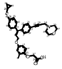 Cc1cc(OC/C=C(\c2ccc(C#CCN3CCOCC3)cc2)c2ccc(SC3CC3)cc2)ccc1OCC(=O)O